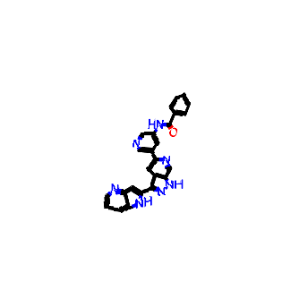 O=C(Nc1cncc(-c2cc3c(-c4cc5ncccc5[nH]4)n[nH]c3cn2)c1)c1ccccc1